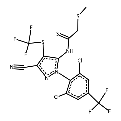 CSCC(=S)Nc1c(SC(F)(F)F)c(C#N)nn1-c1c(Cl)cc(C(F)(F)F)cc1Cl